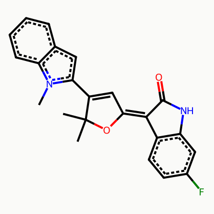 Cn1c(C2=CC(=C3C(=O)Nc4cc(F)ccc43)OC2(C)C)cc2ccccc21